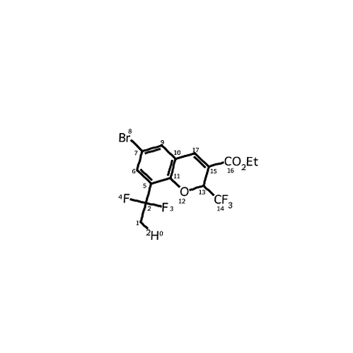 [2H]CC(F)(F)c1cc(Br)cc2c1OC(C(F)(F)F)C(C(=O)OCC)=C2